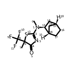 CN(C1=NC(=O)C(C)(C(F)(F)F)S1)[C@H]1C[C@@H]2CC[C@H]1C2